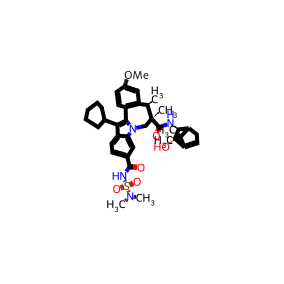 COc1ccc2c(c1)[C@H](C)[C@@](C)(C(=O)N[C@@H]1C3CC=C([C@@H]1O)C3(C)C)Cn1c-2c(C2CCCCC2)c2ccc(C(=O)NS(=O)(=O)N(C)C)cc21